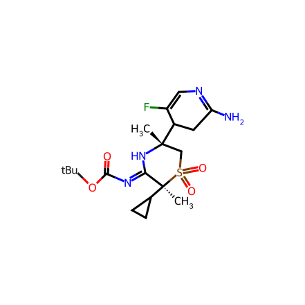 CC(C)(C)OC(=O)/N=C1\N[C@](C)(C2CC(N)=NC=C2F)CS(=O)(=O)[C@@]1(C)C1CC1